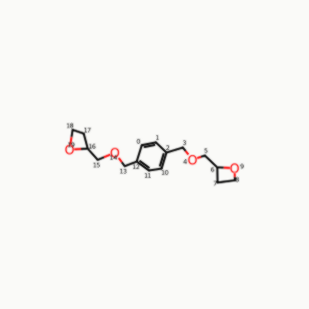 c1cc(COCC2CCO2)ccc1COCC1CCO1